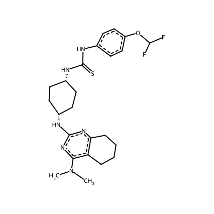 CN(C)c1nc(N[C@H]2CC[C@@H](NC(=S)Nc3ccc(OC(F)F)cc3)CC2)nc2c1CCCC2